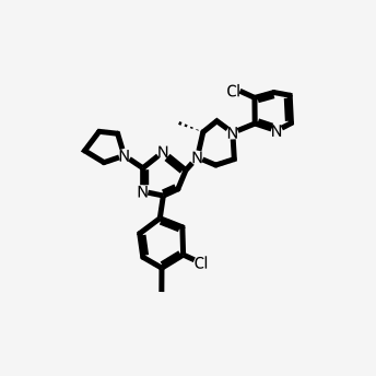 Cc1ccc(-c2cc(N3CCN(c4ncccc4Cl)C[C@H]3C)nc(N3CCCC3)n2)cc1Cl